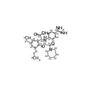 CCCc1cc(CC)cc(C(Nc2ccc(C(=N)N)cc2)C(=O)O)c1OCC(=O)N1CCCCCC1